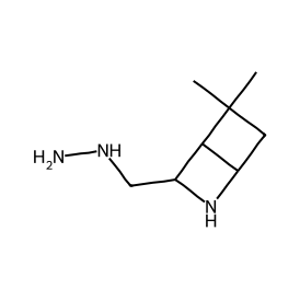 CC1(C)CC2NC(CNN)C21